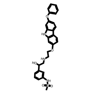 CS(=O)(=O)Nc1cccc(C(O)CNCCOc2ccc3c(c2)[nH]c2cc(Oc4ccccc4)ccc23)c1